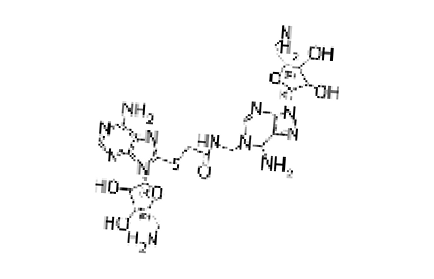 NC[C@H]1O[C@@H](n2cnc3c2N=CN(CNC(=O)CSc2nc4c(N)ncnc4n2[C@@H]2O[C@H](CN)C(O)C2O)C3N)C(O)C1O